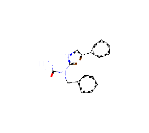 NC(=O)N(Cc1ccccc1)c1ncc(-c2ccccc2)s1